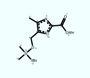 COC(=O)c1nc(C)c(CO[Si](C)(C)C(C)(C)C)o1